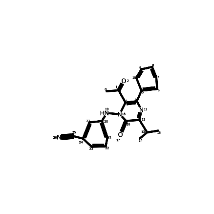 CC(=O)c1c(-c2ccccc2)nc(C(C)C)c(=O)n1Nc1cccc(C#N)c1